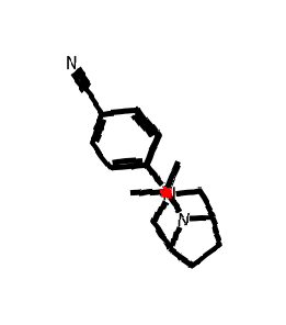 CC(C)N1C2CCC1CN(c1ccc(C#N)cc1)C2